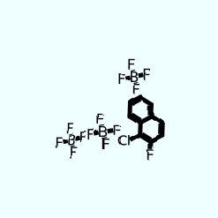 F[B-](F)(F)F.F[B-](F)(F)F.F[B-](F)(F)F.Fc1ccc2ccccc2c1Cl